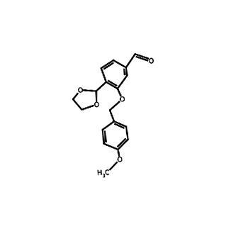 COc1ccc(COc2cc(C=O)ccc2C2OCCO2)cc1